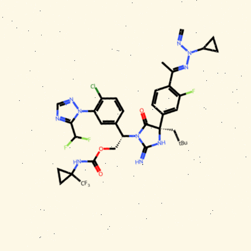 C=NN(/N=C(\C)c1ccc([C@@]2(CC(C)(C)C)NC(=N)N([C@H](COC(=O)NC3(C(F)(F)F)CC3)c3ccc(Cl)c(-n4ncnc4C(F)F)c3)C2=O)cc1F)C1CC1